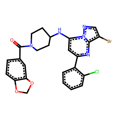 O=C(c1ccc2c(c1)OCO2)N1CCC(Nc2cc(-c3ccccc3Cl)nc3c(Br)cnn23)CC1